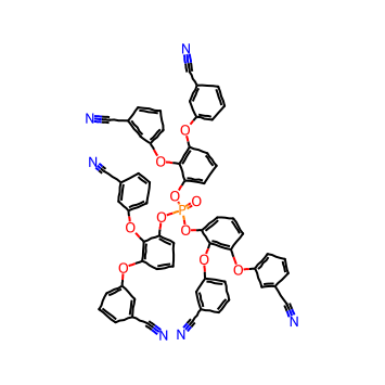 N#Cc1cccc(Oc2cccc(OP(=O)(Oc3cccc(Oc4cccc(C#N)c4)c3Oc3cccc(C#N)c3)Oc3cccc(Oc4cccc(C#N)c4)c3Oc3cccc(C#N)c3)c2Oc2cccc(C#N)c2)c1